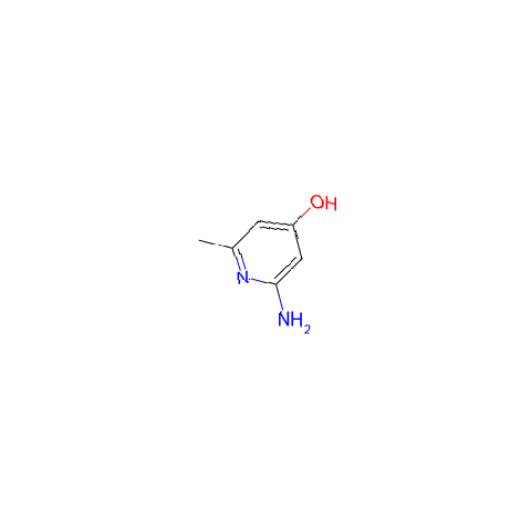 Cc1cc(O)cc(N)n1